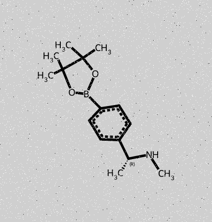 CN[C@H](C)c1ccc(B2OC(C)(C)C(C)(C)O2)cc1